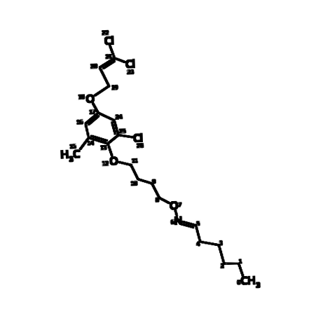 CCCCCC=NOCCCCOc1c(C)cc(OCC=C(Cl)Cl)cc1Cl